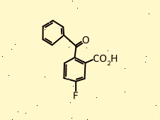 O=C(O)c1cc(F)ccc1C(=O)c1ccccc1